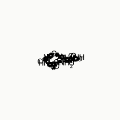 CC(C)n1c(=O)c(OCC(N)=O)cc2cc(Nc3nc(N4CCC(O[C@H]5C[C@H](N6CCN(c7cc8c(cc7F)C(=O)N(C7CCC(=O)NC7=O)C8=O)[C@H](C)C6)C5)CC4)ncc3Cl)ccc21